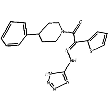 O=C(C(=NNc1nnn[nH]1)c1cccs1)N1CCC(c2ccccc2)CC1